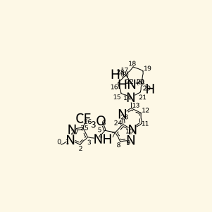 Cn1cc(NC(=O)c2cnn3ccc(N4CC[C@H]5CC[C@@H](C4)N5)nc23)c(C(F)(F)F)n1